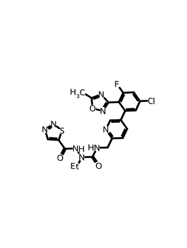 CCN(NC(=O)c1cnns1)C(=O)NCc1ccc(-c2cc(Cl)cc(F)c2-c2noc(C)n2)cn1